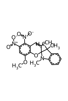 COc1cc([N+](=O)[O-])c([N+](=O)[O-])c2c1OC1(C(C)=C2)N(C)c2ccccc2C1(C)C